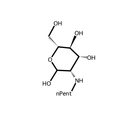 CCCCCN[C@@H]1C(O)O[C@H](CO)[C@@H](O)[C@@H]1O